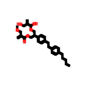 C=C(COC)C(=O)OCC(COC(O)C(=C)CO)c1ccc(CCc2ccc(CCCCC)cc2)cc1